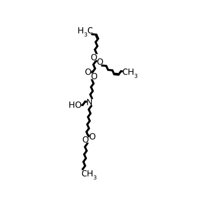 CC/C=C\CCCCOC(CCC(=O)OCCCCCCN(CCO)CCCCCCCCC(=O)OCCCCCCCCC)OCCCC/C=C\CC